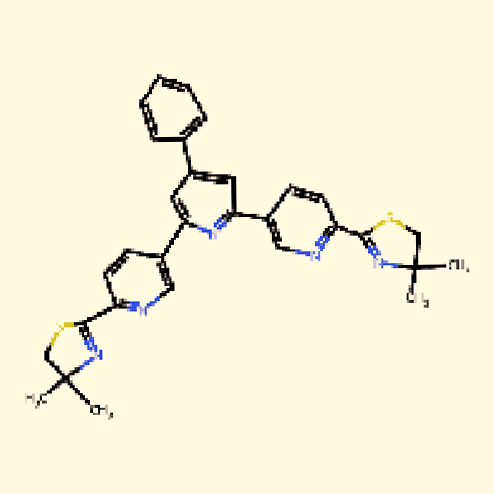 CC1(C)CSC(c2ccc(-c3cc(-c4ccccc4)cc(-c4ccc(C5=NC(C)(C)CS5)nc4)n3)cn2)=N1